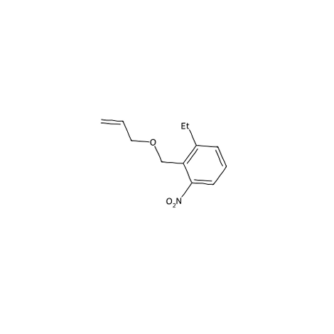 C=CCOCc1c(CC)cccc1[N+](=O)[O-]